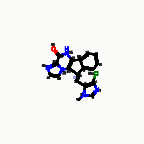 Cn1cnc(Cl)c1/C=c1\c2ccccc2c2[nH]c(=O)c3nccn3c12